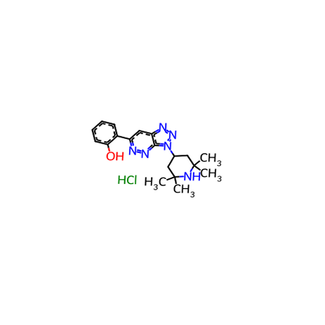 CC1(C)CC(n2nnc3cc(-c4ccccc4O)nnc32)CC(C)(C)N1.Cl